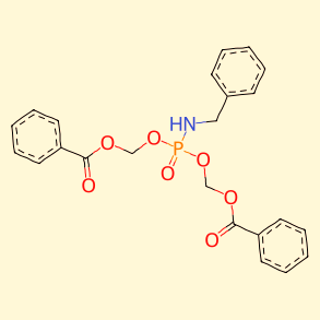 O=C(OCOP(=O)(NCc1ccccc1)OCOC(=O)c1ccccc1)c1ccccc1